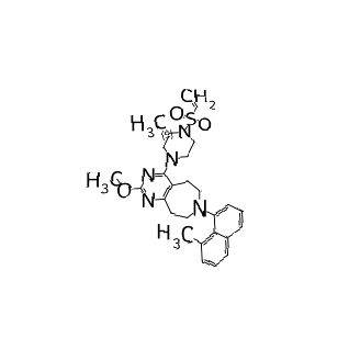 C=CS(=O)(=O)N1CCN(c2nc(OC)nc3c2CCN(c2cccc4cccc(C)c24)CC3)C[C@@H]1C